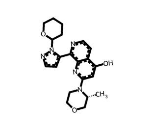 C[C@@H]1COCCN1c1cc(O)c2ccnc(-c3ccnn3C3CCCCO3)c2n1